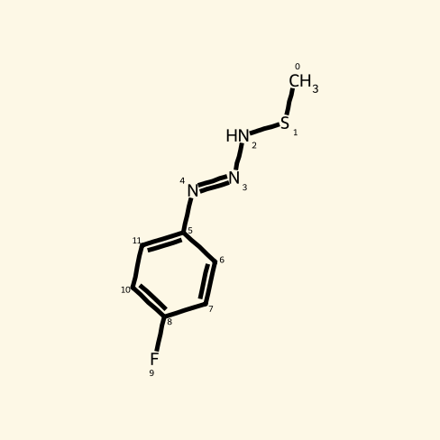 CSNN=Nc1ccc(F)cc1